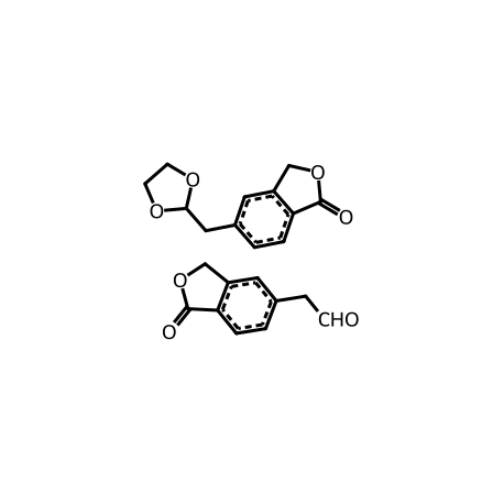 O=C1OCc2cc(CC3OCCO3)ccc21.O=CCc1ccc2c(c1)COC2=O